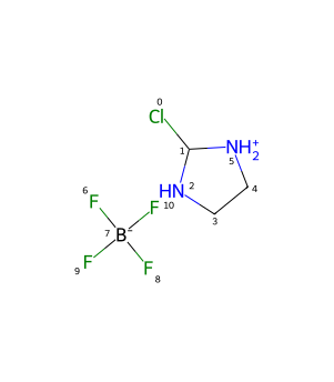 ClC1NCC[NH2+]1.F[B-](F)(F)F